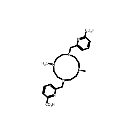 CN1CCN(Cc2cccc(C(=O)O)n2)CCN(I)CCN(Cc2cccc(C(=O)O)n2)CC1